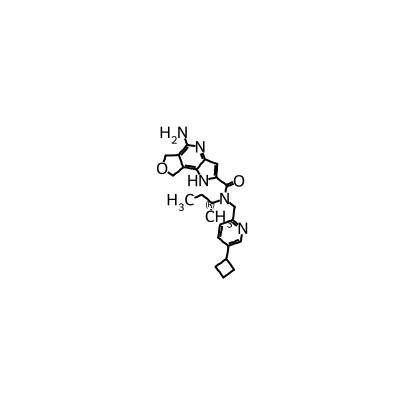 CC[C@@H](C)N(Cc1ccc(C2CCC2)cn1)C(=O)c1cc2nc(N)c3c(c2[nH]1)COC3